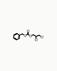 O=C(OCc1ccccc1)OCC(Cl)CCl